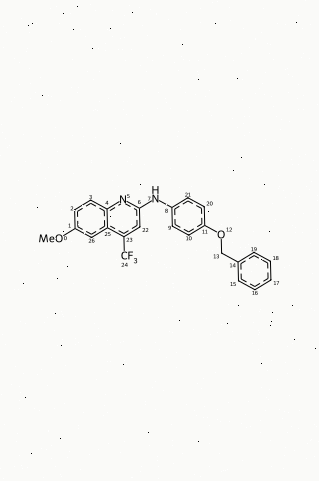 COc1ccc2nc(Nc3ccc(OCc4ccccc4)cc3)cc(C(F)(F)F)c2c1